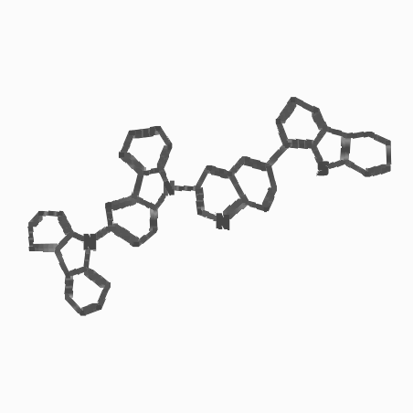 C1=Cc2sc3c(-c4ccc5ncc(-n6c7ccccc7c7cc(-n8c9ccccc9c9ccccc98)ccc76)cc5c4)cccc3c2CC1